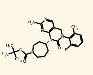 Cc1cccc(F)c1N1Cc2cnc(N)nc2N([C@@H]2CCCN(C(=O)OC(C)(C)C)CC2)C1=O